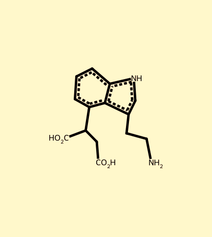 NCCc1c[nH]c2cccc(C(CC(=O)O)C(=O)O)c12